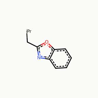 CC(C)Cc1nc2ccccc2o1